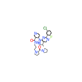 CC(C)c1cnc(-c2cc(Cl)ccc2F)nc1Nc1ccncc1C(=O)NCCCN1CCCC1C(=O)N1CCCC1